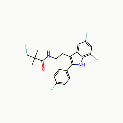 CC(C)(CF)C(=O)NCCc1c(-c2ccc(F)cc2)[nH]c2c(F)cc(F)cc12